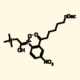 CCCCCCCCCCCCCCCC(=O)c1cc([N+](=O)[O-])ccc1[P+]([O-])=C(O)C[N+](C)(C)C